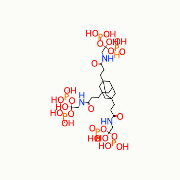 O=C(CCC12CC3CC(CCC(=O)NCC(O)(OP(O)O)O[PH](=O)O)(C1)CC(CCC(=O)NCC(O)(OP(O)O)O[PH](=O)O)(C3)C2)NCC(O)(OP(O)O)OP(O)O